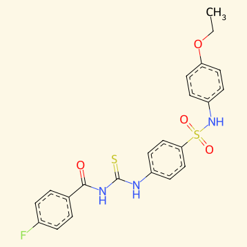 CCOc1ccc(NS(=O)(=O)c2ccc(NC(=S)NC(=O)c3ccc(F)cc3)cc2)cc1